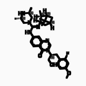 COc1ccc(C[C@@H](CO)n2cnc3cc(NC(=N[C@H]4C[C@H]5C[C@@H]([C@@H]4C)C5(C)C)N4C[C@H](C)N[C@@H](C)C4)ccc3c2=O)c(F)c1